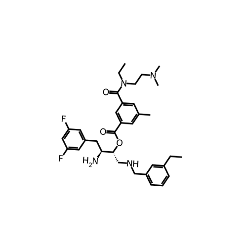 CCc1cccc(CNC[C@@H](OC(=O)c2cc(C)cc(C(=O)N(CC)CCN(C)C)c2)[C@@H](N)Cc2cc(F)cc(F)c2)c1